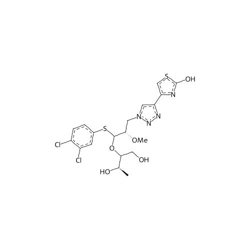 CO[C@@H](Cn1cc(-c2csc(O)n2)nn1)C(OC(CO)[C@@H](C)O)Sc1ccc(Cl)c(Cl)c1